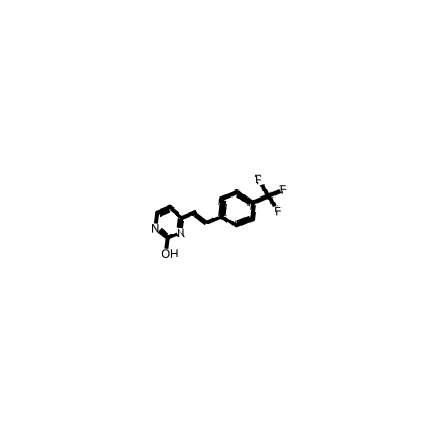 Oc1nccc(C=Cc2ccc(C(F)(F)F)cc2)n1